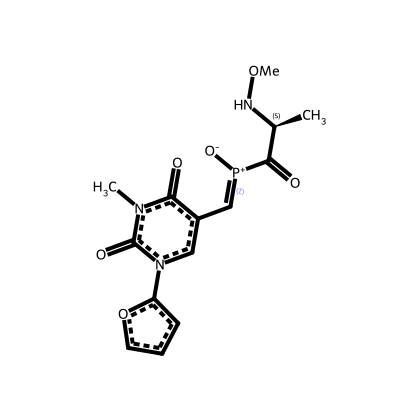 CON[C@@H](C)C(=O)/[P+]([O-])=C/c1cn(-c2ccco2)c(=O)n(C)c1=O